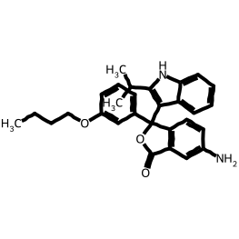 CCCCOc1cccc(C2(c3c(C(C)C)[nH]c4ccccc34)OC(=O)c3cc(N)ccc32)c1